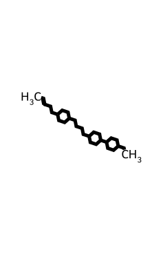 C/C=C/CCC1CCC(CCCCC2CCC(C3CCC(CC)CC3)CC2)CC1